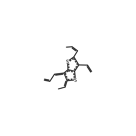 C=C/C=c1\c(=C/C)sc2c(C=C)c(/C=C\C)sc12